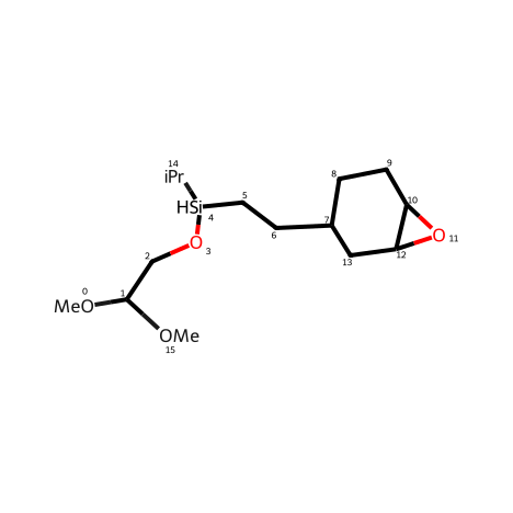 COC(CO[SiH](CCC1CCC2OC2C1)C(C)C)OC